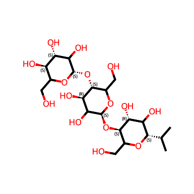 CC(C)[C@@H]1OC(CO)[C@@H](O[C@@H]2OC(CO)[C@@H](O[C@@H]3OC(CO)[C@@H](O)[C@H](O)C3O)[C@H](O)C2O)[C@H](O)C1O